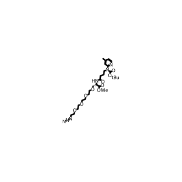 COC(=O)[C@H](COCCOCCOCCOCCN=[N+]=[N-])NC(=O)CCCN(C(=O)OC(C)(C)C)c1cc(C)ccn1